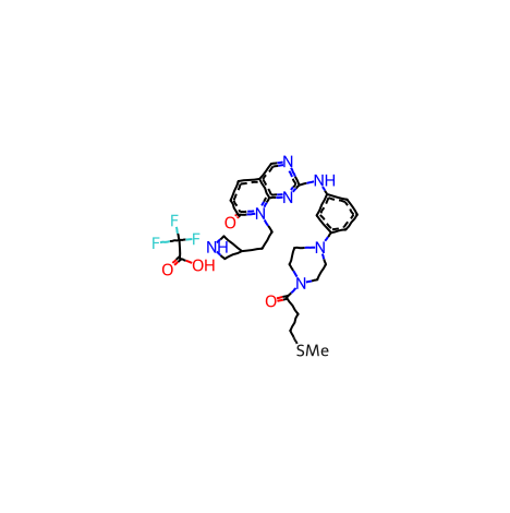 CSCCC(=O)N1CCN(c2cccc(Nc3ncc4ccc(=O)n(CCC5CNC5)c4n3)c2)CC1.O=C(O)C(F)(F)F